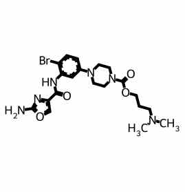 CN(C)CCCOC(=O)N1CCN(c2ccc(Br)c(NC(=O)c3coc(N)n3)c2)CC1